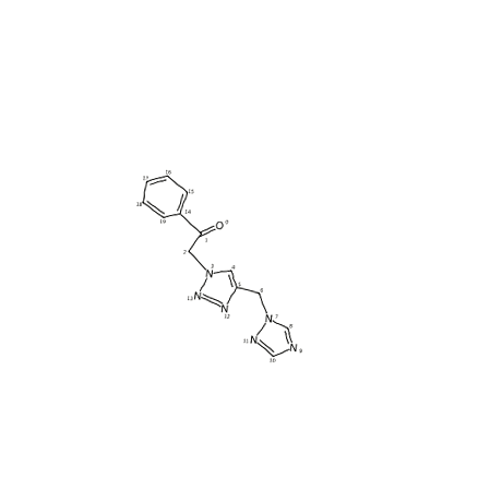 O=C(Cn1cc(Cn2cncn2)nn1)c1ccccc1